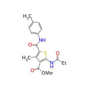 CCC(=O)Nc1sc(C(=O)Nc2ccc(C)cc2)c(C)c1C(=O)OC